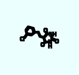 O=C1NC(=O)C(CCc2cccc(Cl)c2)C(=O)N1